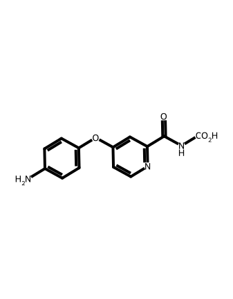 Nc1ccc(Oc2ccnc(C(=O)NC(=O)O)c2)cc1